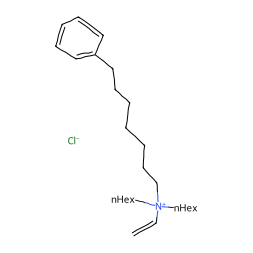 C=C[N+](CCCCCC)(CCCCCC)CCCCCCCc1ccccc1.[Cl-]